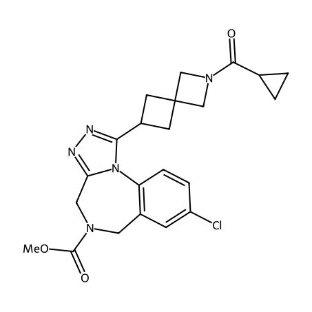 COC(=O)N1Cc2cc(Cl)ccc2-n2c(nnc2C2CC3(C2)CN(C(=O)C2CC2)C3)C1